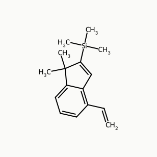 C=Cc1cccc2c1C=C([Si](C)(C)C)C2(C)C